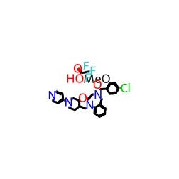 COc1cc(Cl)ccc1C(=O)N1CC(=O)N(CC2CCN(c3ccncc3)CC2)c2ccccc2C1.O=C(O)C(F)(F)F